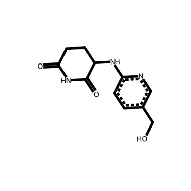 O=C1CCC(Nc2ccc(CO)cn2)C(=O)N1